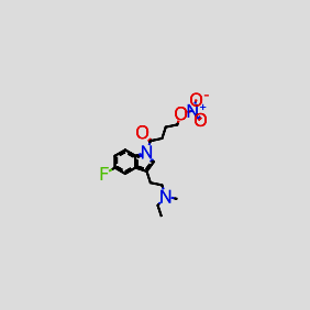 CCN(C)CCc1cn(C(=O)CCCO[N+](=O)[O-])c2ccc(F)cc12